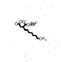 CCCCCCC=CC(CC(=O)[O-])C(=O)[O-].[Na+].[Na+]